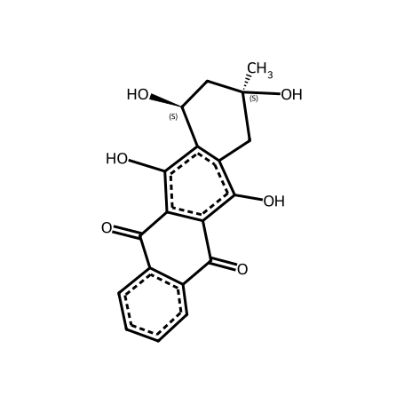 C[C@]1(O)Cc2c(O)c3c(c(O)c2[C@@H](O)C1)C(=O)c1ccccc1C3=O